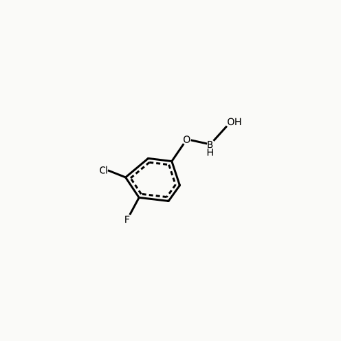 OBOc1ccc(F)c(Cl)c1